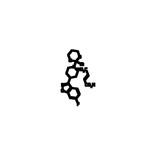 CCC1(N2CCC(c3noc4cc(F)ccc34)CC2)OCCCO1.O=C(O)C=CC(=O)O